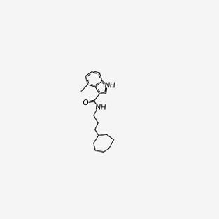 Cc1cccc2[nH]cc(C(=O)NCCCC3CCCCCC3)c12